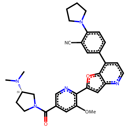 COc1cc(C(=O)N2CC[C@H](N(C)C)C2)cnc1-c1cc2nccc(-c3ccc(N4CCCC4)c(C#N)c3)c2o1